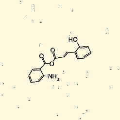 Nc1ccccc1C(=O)OC(=O)/C=C/c1ccccc1O